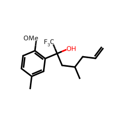 C=CCC(C)CC(O)(c1cc(C)ccc1OC)C(F)(F)F